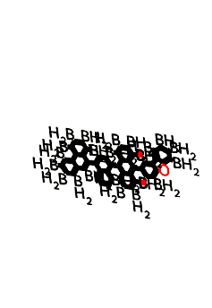 Bc1c(B)c(B)c2c(oc3c(B)c(B)c(-c4c5c(B)c(B)c(B)c(B)c5c(-c5ccc(-c6c(B)c7c(B)c(B)c(B)c(B)c7c7c(B)c(B)c(B)c(B)c67)c6ccccc56)c5c(B)c(B)c(B)c(B)c45)c(B)c32)c1B